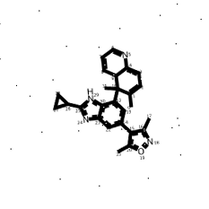 CC1=CC=C2N=CC=CC2C1(C)c1cc(-c2c(C)noc2C)cc2nc(C3CC3)[nH]c12